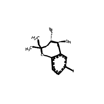 CC1(C)Oc2ccc(I)cc2[C@H](O)[C@H]1Br